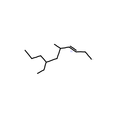 [CH2]C/C=C/C(C)CC(CC)CCC